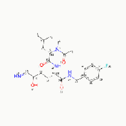 CC(=O)N(C)[C@@H](CC(C)C)C(=O)N[C@@H](CCC(O)C=N)C(=O)NCc1ccc(F)cc1